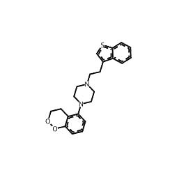 c1cc2c(c(N3CCN(CCc4csc5ccccc45)CC3)c1)CCOO2